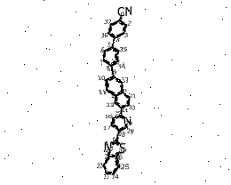 N#Cc1ccc(-c2ccc(-c3ccc4cc(-c5ccc(-c6nc7ccccc7s6)cn5)ccc4c3)cc2)cc1